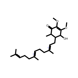 COC1=C(OC)C(O)C(C/C=C(\C)CC/C=C(\C)CCC=C(C)C)C(C)C1=O